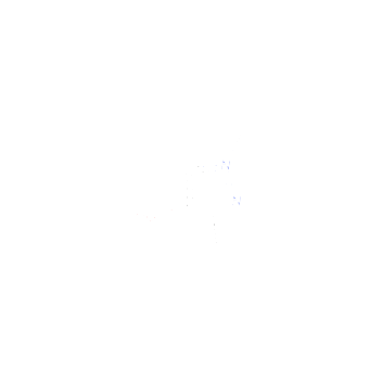 Cc1nn(C)cc1O